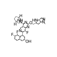 Cn1ncc2[nH]c(COc3nc(N4C[C@H]5CC[C@@H](C4)N5)c4cnc(-c5cc(O)cc6ccc(F)c(F)c56)c(F)c4n3)cc21